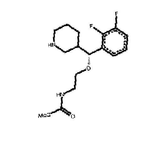 COC(=O)NCCO[C@@H](c1cccc(F)c1F)C1CCCNC1